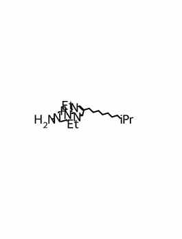 CCC1CN(N)CP(CC)N1c1ncc(CCCCCCCC(C)C)cn1